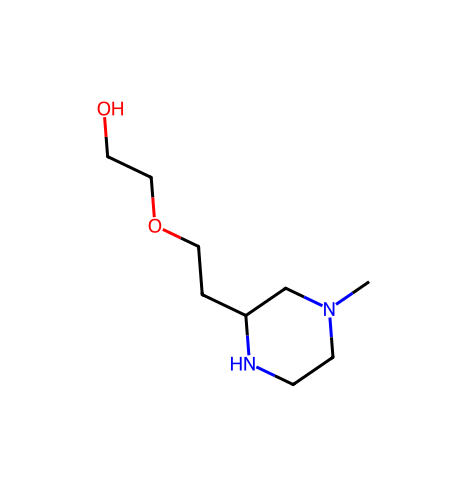 CN1CCNC(CCOCCO)C1